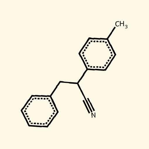 Cc1ccc(C(C#N)Cc2ccccc2)cc1